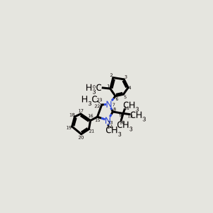 Cc1ccccc1N1C(C(C)(C)C)N(C)C(c2ccccc2)[C@@H]1C